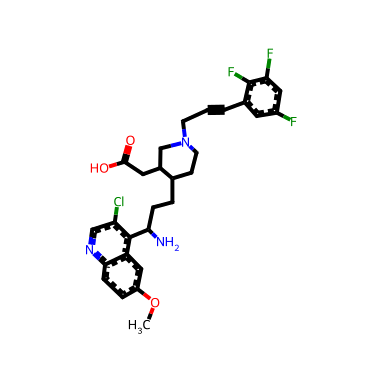 COc1ccc2ncc(Cl)c(C(N)CCC3CCN(CC#Cc4cc(F)cc(F)c4F)CC3CC(=O)O)c2c1